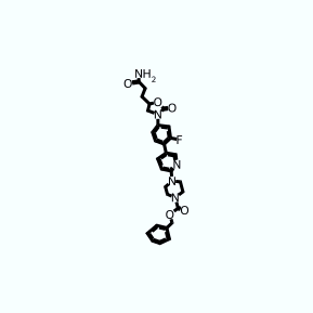 NC(=O)CCC1CN(c2ccc(-c3ccc(N4CCN(C(=O)OCc5ccccc5)CC4)nc3)c(F)c2)C(=O)O1